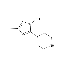 Cn1nc(I)cc1C1CCNCC1